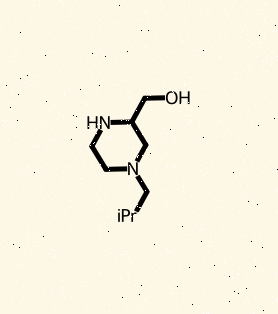 CC(C)CN1CCNC(CO)C1